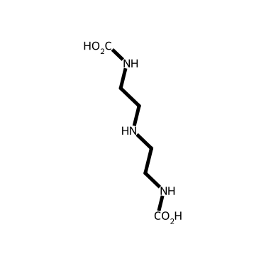 O=C(O)NCCNCCNC(=O)O